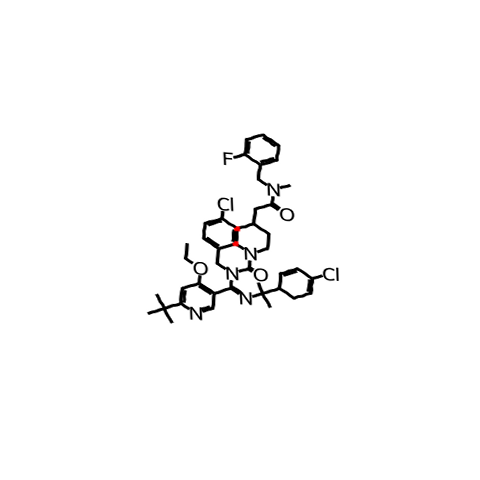 CCOc1cc(C(C)(C)C)ncc1/C(=N/C(C)(C)C1C=CC(Cl)=CC1)N(Cc1ccc(Cl)cc1)C(=O)N1CCC(CC(=O)N(C)Cc2ccccc2F)CC1